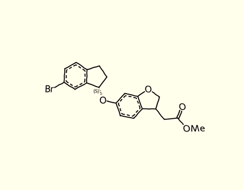 COC(=O)CC1COc2cc(O[C@H]3CCc4ccc(Br)cc43)ccc21